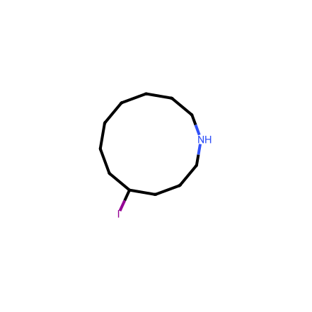 IC1CCCCCCCNCCC1